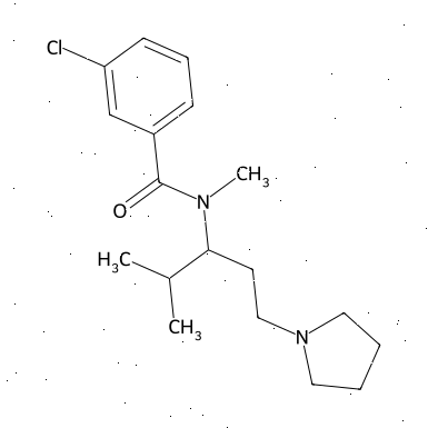 CC(C)C(CCN1CCCC1)N(C)C(=O)c1cccc(Cl)c1